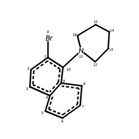 Brc1ccc2ccccc2c1N1CCCCC1